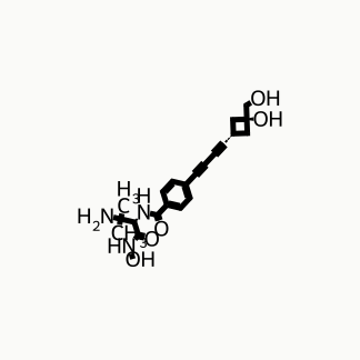 CC(C)(N)[C@H](NC(=O)c1ccc(C#CC#C[C@H]2C[C@@](O)(CO)C2)cc1)C(=O)NO